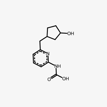 O=C(O)Nc1cccc(CC2CCC(O)C2)n1